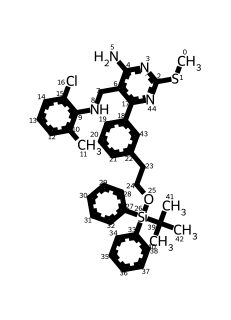 CSc1nc(N)c(CNc2c(C)cccc2Cl)c(-c2cccc(CCO[Si](c3ccccc3)(c3ccccc3)C(C)(C)C)c2)n1